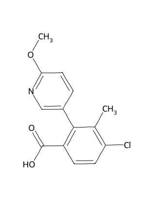 COc1ccc(-c2c(C(=O)O)ccc(Cl)c2C)cn1